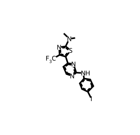 CN(C)c1nc(C(F)(F)F)c(-c2ccnc(Nc3ccc(I)cc3)n2)s1